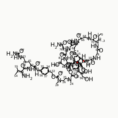 CC[C@H](C)[C@@H]1NC(=O)CNC(=O)[C@H]2Cc3c([nH]c4cc(OC(=O)N(C)CCN(C)C(=O)OCc5ccc(NC(=O)C(CCCNC(N)=O)NC(=O)[C@@H](N)C(C)C)cc5)ccc34)[S@+]([O-])C[C@H](NC(=O)CNC1=O)C(=O)N[C@@H](CC(N)=O)C(=O)N1C[C@H](O)C[C@H]1C(=O)N[C@@H]([C@@H](C)[C@@H](O)CO)C(=O)N2